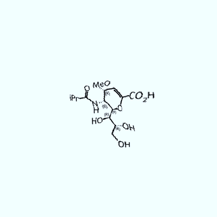 CO[C@@H]1C=C(C(=O)O)O[C@@H]([C@H](O)[C@H](O)CO)[C@@H]1NC(=O)C(C)C